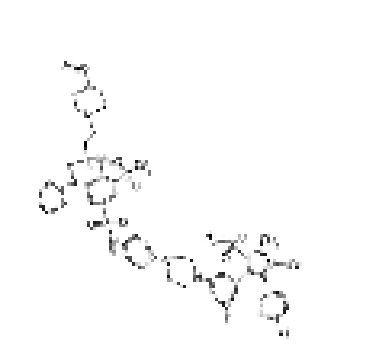 COC1CCN(CC[C@H](CSc2ccccc2)Nc2ccc(S(=O)(=O)Nc3ccc(N4CCN(c5cc(F)cc(-c6c(S(C)(=O)=O)c(C)n(C(C)C)c6-c6ccc(Cl)cc6)c5)CC4)cc3)cc2S(=O)(=O)C(F)(F)F)CC1